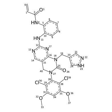 C=CC(=O)Nc1ccccc1Nc1ncc2c(n1)N(Cc1cn[nH]c1)C(=O)N(c1c(Cl)c(OC)cc(OC)c1Cl)C2